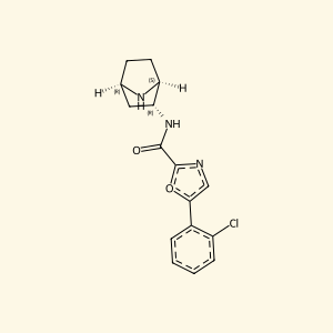 O=C(N[C@@H]1C[C@H]2CC[C@@H]1N2)c1ncc(-c2ccccc2Cl)o1